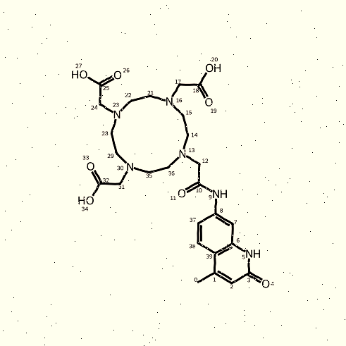 Cc1cc(=O)[nH]c2cc(NC(=O)CN3CCN(CC(=O)O)CCN(CC(=O)O)CCN(CC(=O)O)CC3)ccc12